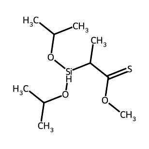 COC(=S)C(C)[SiH](OC(C)C)OC(C)C